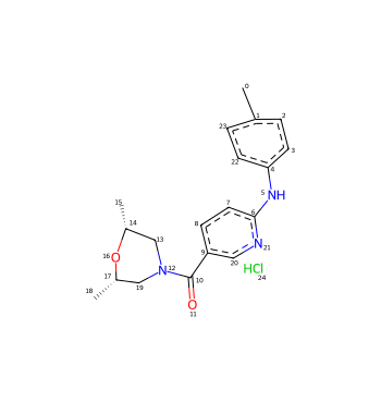 Cc1ccc(Nc2ccc(C(=O)N3C[C@@H](C)O[C@@H](C)C3)cn2)cc1.Cl